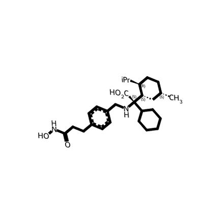 CC(C)[C@H]1CC[C@H](C)C[C@@H]1[C@](NCc1ccc(CCC(=O)NO)cc1)(C(=O)O)C1CCCCC1